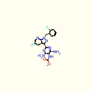 COC(=O)Nc1c(N)nc(-c2nn(Cc3cc#ccc3F)c3ncc(F)cc23)nc1N